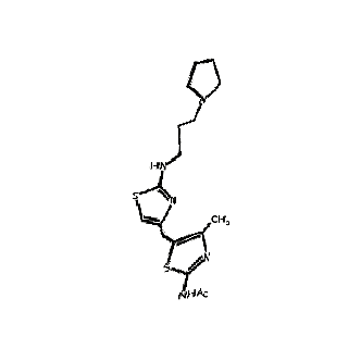 CC(=O)Nc1nc(C)c(-c2csc(NCCCN3CCCC3)n2)s1